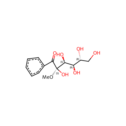 CO[C@](O)(C(=O)c1ccccc1)[C@@H](O)[C@H](O)[C@H](O)CO